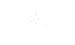 CCCC1=CC(=O)c2ccccc2C1=O